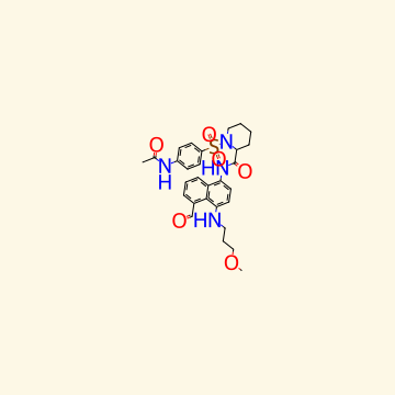 COCCCNc1ccc(NC(=O)C2CCCCN2S(=O)(=O)c2ccc(NC(C)=O)cc2)c2cccc(C=O)c12